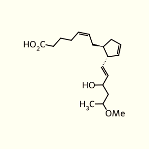 COC(C)CC(O)C=C[C@H]1C=CC[C@@H]1C/C=C\CCCC(=O)O